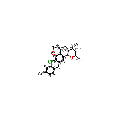 CC[C@H]1O[C@@H](c2cc(Cc3ccc(C(C)=O)cc3)c(Cl)c3c2CCCO3)[C@H](OC(C)=O)[C@@H](OC(C)=O)[C@@H]1C